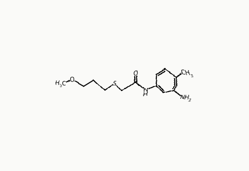 COCCCSCC(=O)Nc1ccc(C)c(N)c1